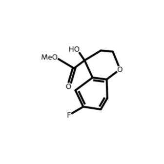 COC(=O)C1(O)CCOc2ccc(F)cc21